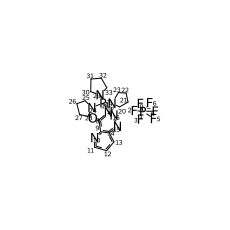 F[P-](F)(F)(F)(F)F.O=c1c2ncccc2nnn1[P+](N1CCCC1)(N1CCCC1)N1CCCC1